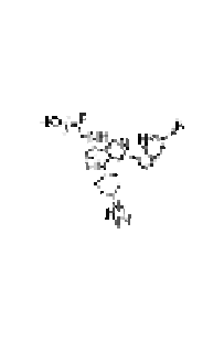 CC(C)(O)[C@H](F)CNC(=O)c1cnc(-c2ccc3cc(C#N)cnn23)cc1N[C@H]1CC[C@H](n2cnnn2)CC1